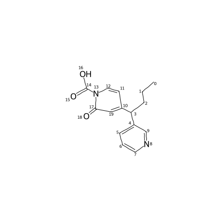 CCCC(c1cccnc1)c1ccn(C(=O)O)c(=O)c1